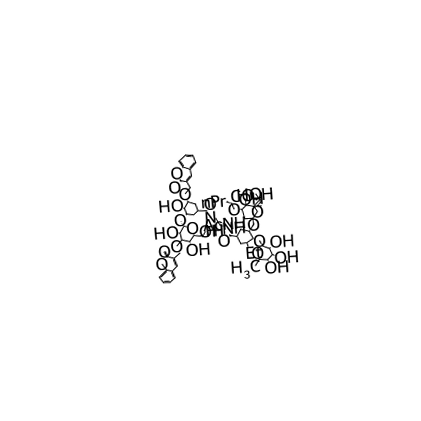 CCC[C@H](OC1C(NC(C)=O)[C@H](O[C@@H]2CC(C(=O)NCCNC(=O)C3CC(OCc4cc5ccccc5oc4=O)C(O)[C@H](O[C@@H]4OC(CO)[C@H](O)C(OCc5cc6ccccc6oc5=O)C4O)C3)CC(CC)C2O[C@@H]2OC(C)[C@@H](O)C(O)C2O)OC(CO)[C@@H]1O)C(=O)O